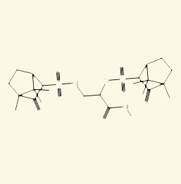 CC12CCC(C(S(=O)(=O)NCC(NS(=O)(=O)C3C(=O)C4(C)CCC3C4(C)C)C(=O)NO)C1=O)C2(C)C